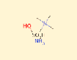 C[N+](C)(C)C.N.O=S(=O)(O)O